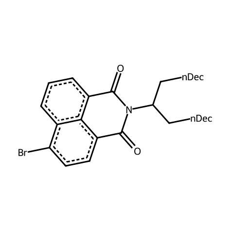 CCCCCCCCCCCC(CCCCCCCCCCC)N1C(=O)c2cccc3c(Br)ccc(c23)C1=O